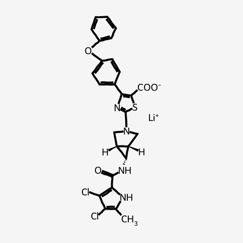 Cc1[nH]c(C(=O)N[C@@H]2[C@@H]3CN(c4nc(-c5ccc(Oc6ccccc6)cc5)c(C(=O)[O-])s4)C[C@@H]32)c(Cl)c1Cl.[Li+]